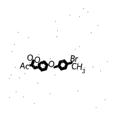 CC(=O)c1cc2ccc(OCc3ccc(C(C)Br)cc3)cc2oc1=O